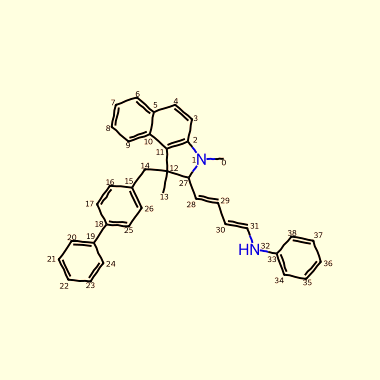 CN1c2ccc3ccccc3c2C(C)(Cc2ccc(-c3ccccc3)cc2)C1/C=C/C=C/Nc1ccccc1